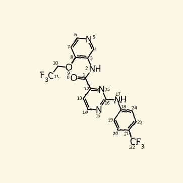 O=C(Nc1cnccc1OCC(F)(F)F)c1ccnc(Nc2ccc(C(F)(F)F)cc2)n1